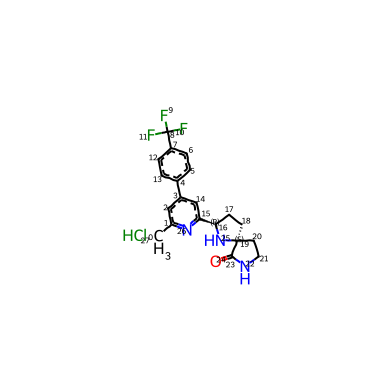 Cc1cc(-c2ccc(C(F)(F)F)cc2)cc([C@H]2CC[C@@]3(CCNC3=O)N2)n1.Cl